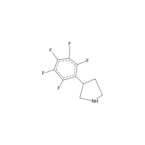 Fc1c(F)c(F)c(C2CCNC2)c(F)c1F